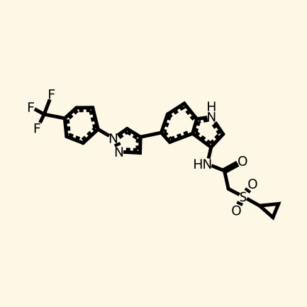 O=C(CS(=O)(=O)C1CC1)Nc1c[nH]c2ccc(-c3cnn(-c4ccc(C(F)(F)F)cc4)c3)cc12